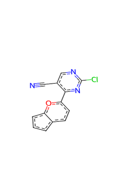 N#Cc1cnc(Cl)nc1-c1ccc2cccc-2o1